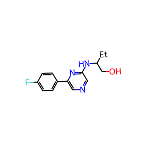 CCC(CO)Nc1cncc(-c2ccc(F)cc2)n1